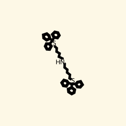 c1ccc(C(SCCCCCCNCCCCCCSC(c2ccccc2)(c2ccccc2)c2ccccc2)(c2ccccc2)c2ccccc2)cc1